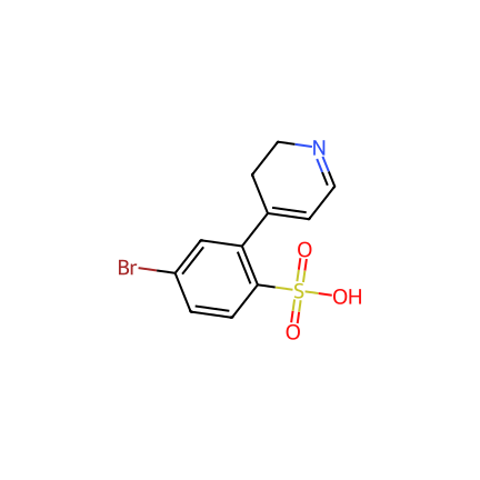 O=S(=O)(O)c1ccc(Br)cc1C1=CC=NCC1